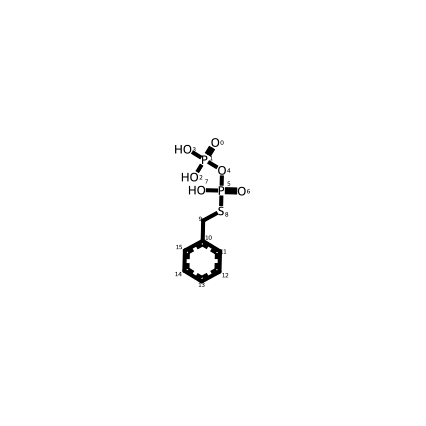 O=P(O)(O)OP(=O)(O)SCc1ccccc1